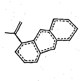 C=C(C)c1cccc2cc3ccccc3cc12